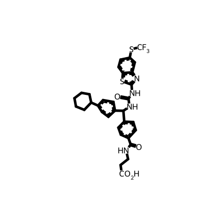 O=C(O)CCNC(=O)c1ccc(C(NC(=O)Nc2nc3cc(SC(F)(F)F)ccc3s2)c2ccc(C3CCCCC3)cc2)cc1